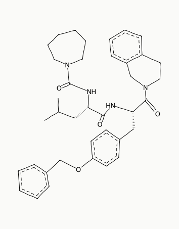 CC(C)C[C@H](NC(=O)N1CCCCCC1)C(=O)N[C@@H](Cc1ccc(OCc2ccccc2)cc1)C(=O)N1CCc2ccccc2C1